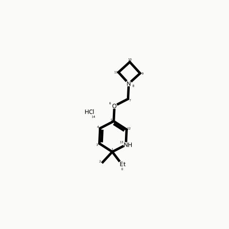 CCC1(C)C=CC(OCN2CCC2)=CN1.Cl